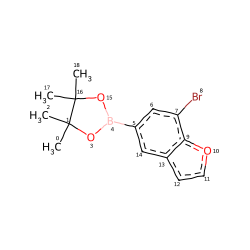 CC1(C)OB(c2cc(Br)c3occc3c2)OC1(C)C